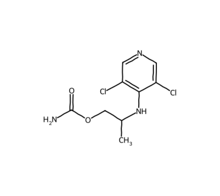 CC(COC(N)=O)Nc1c(Cl)cncc1Cl